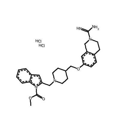 COC(=O)n1c(CN2CCC(COc3ccc4c(c3)CN(C(=N)N)CC4)CC2)cc2ccccc21.Cl.Cl